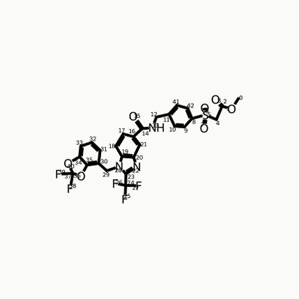 COC(=O)CS(=O)(=O)c1ccc(CNC(=O)c2ccc3c(c2)nc(C(F)(F)F)n3Cc2cccc3c2OC(F)(F)O3)cc1